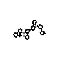 Cc1cccc(-c2cccc(-n3c4ccccc4c4cc(-c5ccc(Nc6cccc7c6C(C)(C)c6ccccc6-7)c(-c6ccccc6)c5)ccc43)c2)c1